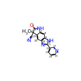 CC1(C#N)C(=O)Nc2cc3[nH]c(-c4cccnc4)nc3cc21